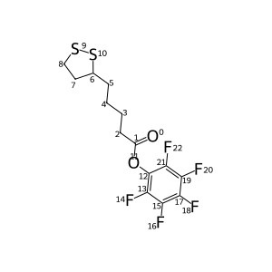 O=C(CCCCC1CCSS1)Oc1c(F)c(F)c(F)c(F)c1F